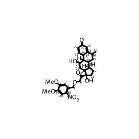 COc1cc(COCC(=O)[C@@]2(O)CC[C@H]3[C@@H]4CC(C)C5=CC(=O)C=C[C@]5(C)[C@H]4C(O)C[C@@]32C)c([N+](=O)[O-])cc1OC